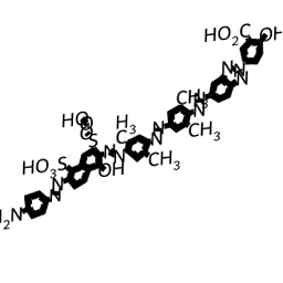 Cc1cc(N=Nc2c(SOOO)cc3c(S(=O)(=O)O)c(N=Nc4ccc(N)cc4)ccc3c2O)c(C)cc1N=Nc1cc(C)c(N=Nc2ccc3nn(-c4ccc(O)c(C(=O)O)c4)nc3c2)c(C)c1